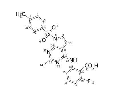 Cc1ccc(S(=O)(=O)n2ccc3c(Nc4cccc(F)c4C(=O)O)nc(I)nc32)cc1